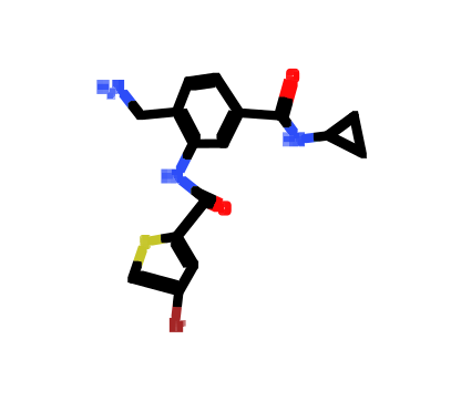 NCc1ccc(C(=O)NC2CC2)cc1NC(=O)c1cc(Br)cs1